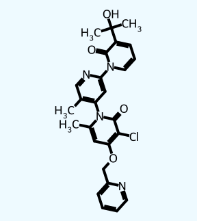 Cc1cnc(-n2cccc(C(C)(C)O)c2=O)cc1-n1c(C)cc(OCc2ccccn2)c(Cl)c1=O